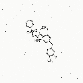 O=S(=O)(N=c1[nH]c2cc(Cc3ccc(C(F)(F)F)c(F)c3)ccc2n1CC(F)(F)F)c1ccccc1